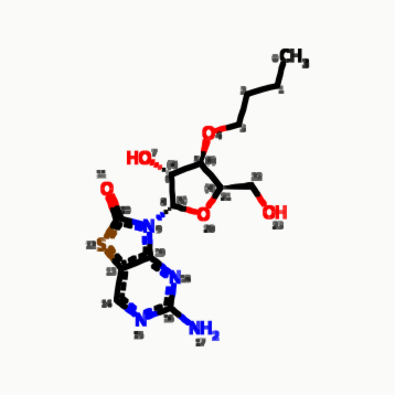 CCCCO[C@@H]1[C@@H](O)[C@@H](n2c(=O)sc3cnc(N)nc32)O[C@@H]1CO